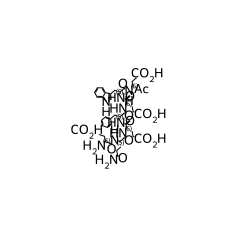 CC(=O)[C@H](CCC(=O)O)NC(=O)[C@H](Cc1c[nH]c2ccccc12)NC(=O)[C@H](CCC(=O)O)NC(=O)[C@H](Cc1ccccc1)NC(=O)[C@H](CCC(=O)O)NC(=O)[C@H](CCC(N)=O)NC(=O)[C@@H](N)CCC(=O)O